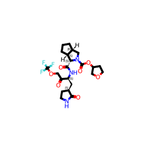 O=C1NCC[C@H]1C[C@H](NC(=O)[C@@H]1[C@H]2CCC[C@H]2CN1C(=O)OC1CCOC1)C(=O)COC(F)(F)F